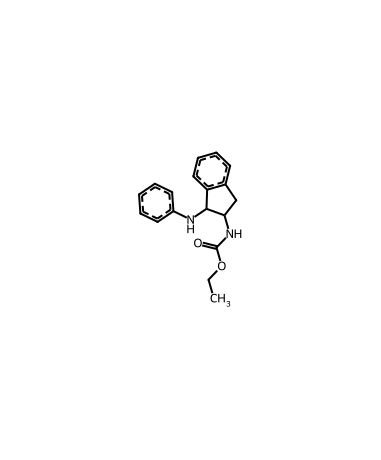 CCOC(=O)NC1Cc2ccccc2C1Nc1ccccc1